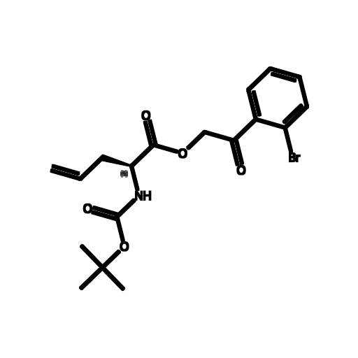 C=CC[C@H](NC(=O)OC(C)(C)C)C(=O)OCC(=O)c1ccccc1Br